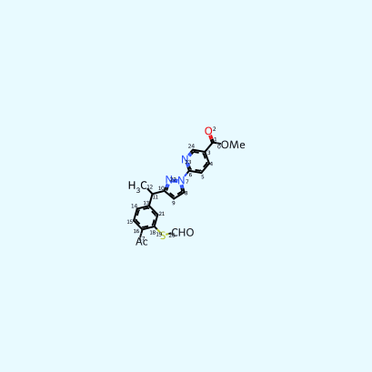 COC(=O)c1ccc(-n2ccc(C(C)c3ccc(C(C)=O)c(SC=O)c3)n2)nc1